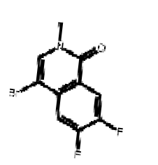 Cn1cc(Br)c2cc(F)c(F)cc2c1=O